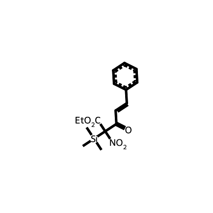 CCOC(=O)C(C(=O)C=Cc1ccccc1)([N+](=O)[O-])[Si](C)(C)C